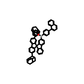 c1ccc(N(c2ccc(-c3cccc4ccccc34)cc2)c2ccc3c(c2)C2(c4ccccc4-3)c3cc(C4C5CC6CC(C5)CC4C6)ccc3-c3ccc(C4C5CC6CC(C5)CC4C6)cc32)cc1